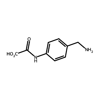 NCc1ccc(NC(=O)C(=O)O)cc1